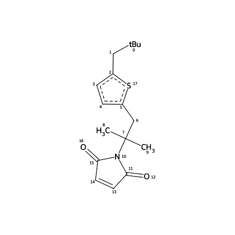 CC(C)(C)Cc1ccc(CC(C)(C)N2C(=O)C=CC2=O)s1